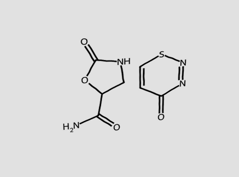 NC(=O)C1CNC(=O)O1.O=c1ccsnn1